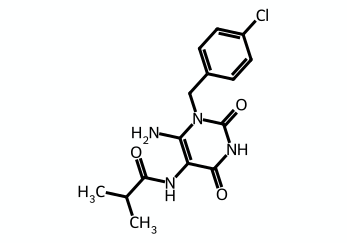 CC(C)C(=O)Nc1c(N)n(Cc2ccc(Cl)cc2)c(=O)[nH]c1=O